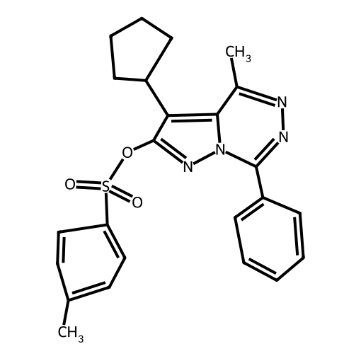 Cc1ccc(S(=O)(=O)Oc2nn3c(-c4ccccc4)nnc(C)c3c2C2CCCC2)cc1